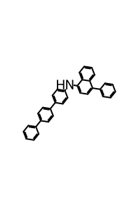 c1ccc(-c2ccc(-c3ccc(Nc4ccc(-c5ccccc5)c5ccccc45)cc3)cc2)cc1